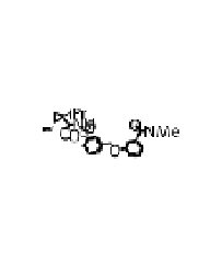 C=C[C@@H]1C[C@@]1(C(=O)NS(=O)(=O)c1cccc(COc2cccc(C(=O)NC)c2)c1)C(C)C